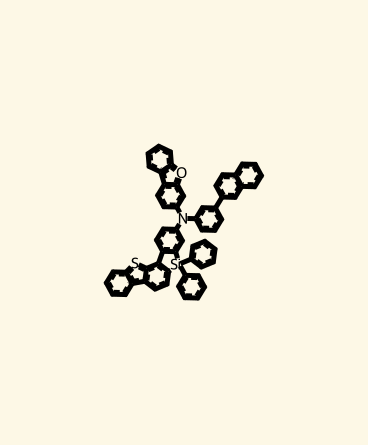 c1ccc([Si]2(c3ccccc3)c3cc(N(c4cccc(-c5ccc6ccccc6c5)c4)c4ccc5c(c4)oc4ccccc45)ccc3-c3c2ccc2c3sc3ccccc32)cc1